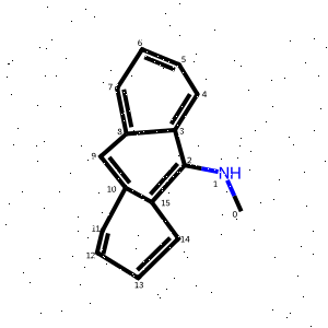 CNc1c2ccccc2cc2ccccc12